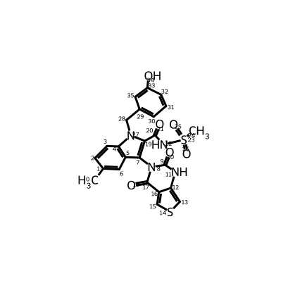 Cc1ccc2c(c1)c(-n1c(=O)[nH]c3cscc3c1=O)c(C(=O)NS(C)(=O)=O)n2Cc1cccc(O)c1